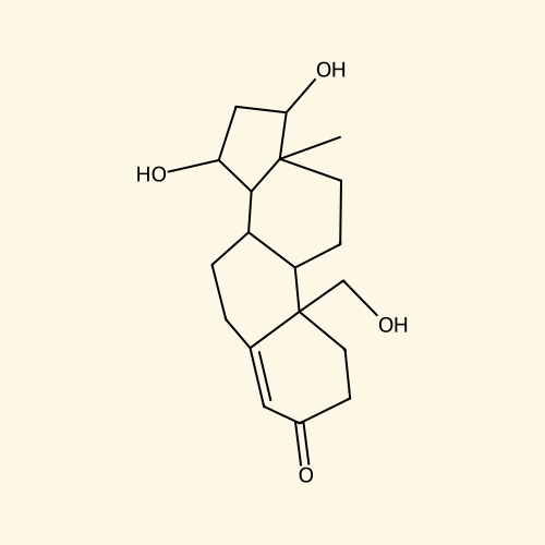 CC12CCC3C(CCC4=CC(=O)CCC43CO)C1C(O)CC2O